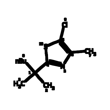 CCCCC(C)(C)c1nc(C)c(Cl)s1